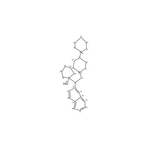 OC1(C(CN2CCC(N3CCCCC3)CC2)c2ccc3ccccc3c2)CCCCC1